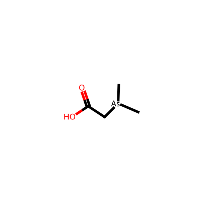 C[As](C)CC(=O)O